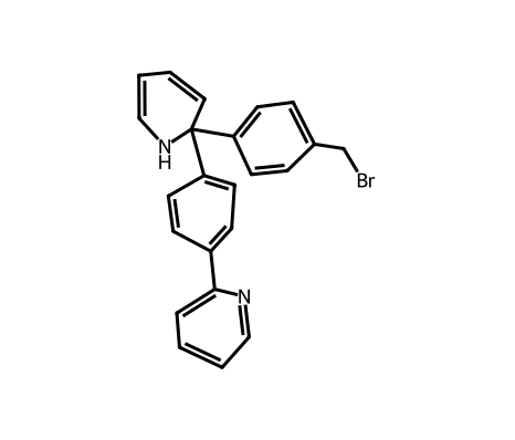 BrCc1ccc(C2(c3ccc(-c4ccccn4)cc3)C=CC=CN2)cc1